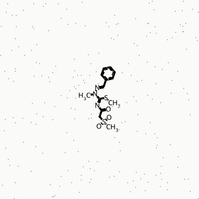 CSC(=NC(=O)CS(C)(=O)=O)N(C)N=Cc1ccccc1